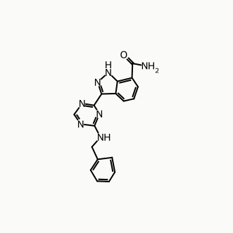 NC(=O)c1cccc2c(-c3ncnc(NCc4ccccc4)n3)n[nH]c12